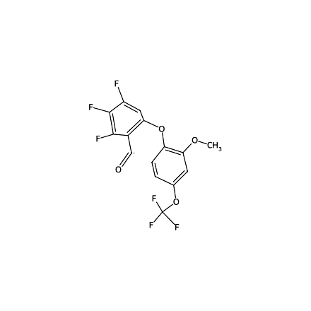 COc1cc(OC(F)(F)F)ccc1Oc1cc(F)c(F)c(F)c1[C]=O